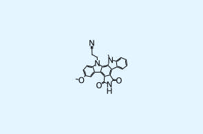 COc1ccc2c(c1)c1c3c(c4c5ccccc5n(C)c4c1n2CCC#N)C(=O)NC3=O